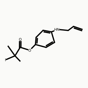 C=CCNc1ccc(OC(=O)C(C)(C)I)cc1